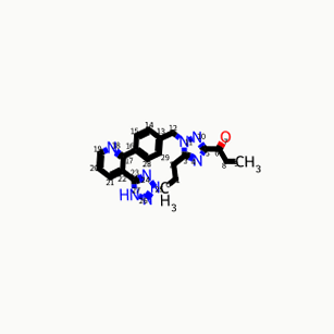 CCCc1nc(C(=O)CC)nn1Cc1ccc(-c2ncccc2-c2nnn[nH]2)cc1